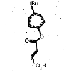 CC(C)(C)c1ccc(OC(=O)/C=C/C(=O)O)cc1